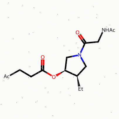 CC[C@@H]1CN(C(=O)CNC(C)=O)C[C@@H]1OC(=O)CCC(C)=O